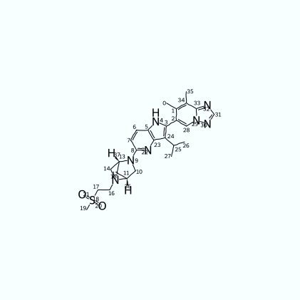 Cc1c(-c2[nH]c3ccc(N4C[C@H]5C[C@@H]4CN5CCS(C)(=O)=O)nc3c2C(C)C)cn2ncnc2c1C